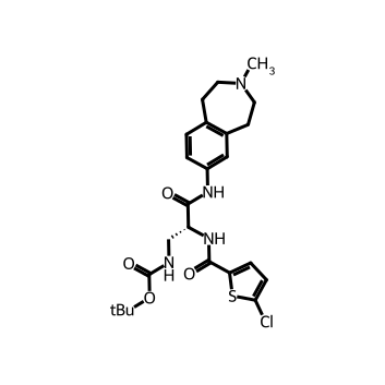 CN1CCc2ccc(NC(=O)[C@@H](CNC(=O)OC(C)(C)C)NC(=O)c3ccc(Cl)s3)cc2CC1